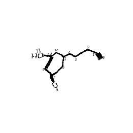 C#CCCCC1CC(=O)C=C(O)C1